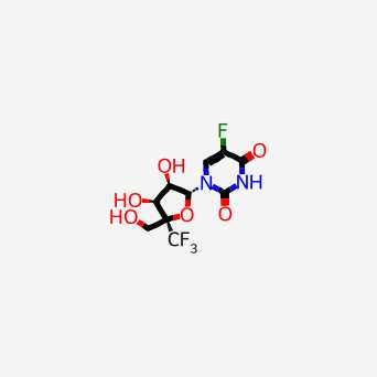 O=c1[nH]c(=O)n([C@@H]2O[C@@](CO)(C(F)(F)F)[C@@H](O)[C@H]2O)cc1F